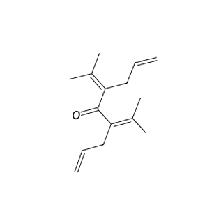 C=CCC(C(=O)C(CC=C)=C(C)C)=C(C)C